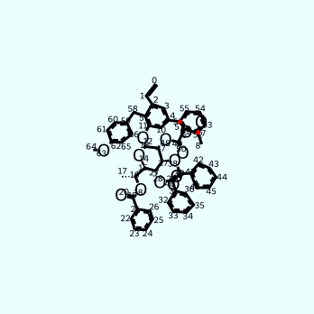 C=Cc1cc(COC(C)=O)cc(O[C@@H]2O[C@H]([C@@H](C)OC(=O)c3ccccc3)[C@@H](OC(=O)c3ccccc3)[C@H](OC(=O)c3ccccc3)[C@H]2OC(=O)c2ccccc2)c1Cc1ccc(OC)cc1